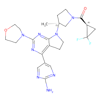 C[C@]1(N2CCc3c(-c4cnc(N)nc4)nc(N4CCOCC4)nc32)CCN(C(=O)[C@H]2CC2(F)F)C1